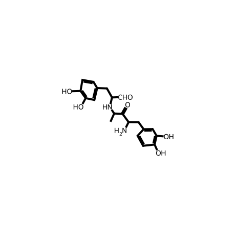 CC(NC(C=O)Cc1ccc(O)c(O)c1)C(=O)C(N)Cc1ccc(O)c(O)c1